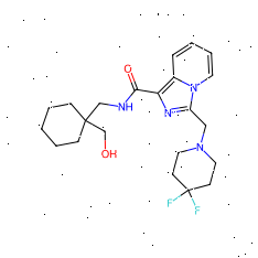 O=C(NCC1(CO)CCCCC1)c1nc(CN2CCC(F)(F)CC2)n2ccccc12